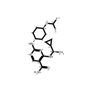 C[C@@H](Nc1nc(N[C@H]2CC[C@H](OC(F)F)CC2)ncc1C(N)=O)C1CC1